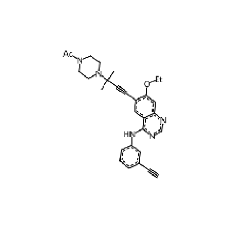 C#Cc1cccc(Nc2ncnc3cc(OCC)c(C#CC(C)(C)N4CCN(C(C)=O)CC4)cc23)c1